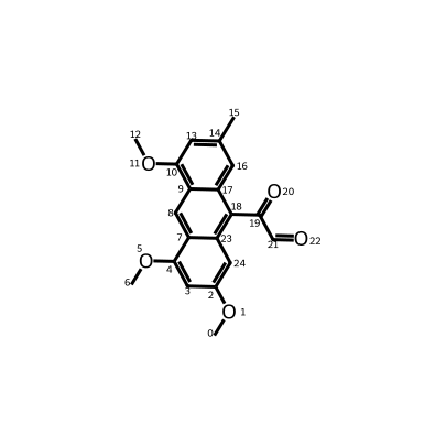 COc1cc(OC)c2cc3c(OC)cc(C)cc3c(C(=O)C=O)c2c1